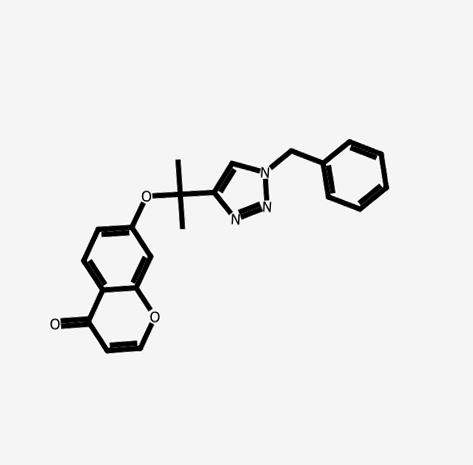 CC(C)(Oc1ccc2c(=O)ccoc2c1)c1cn(Cc2ccccc2)nn1